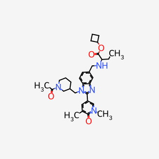 CCC(NCc1ccc2c(c1)nc(-c1cc(C)c(=O)n(C)c1)n2CC1CCCN(C(C)=O)C1)C(=O)OC1CCC1